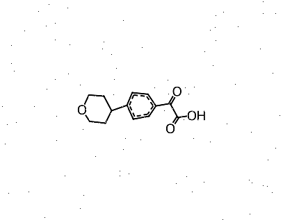 O=C(O)C(=O)c1ccc(C2CCOCC2)cc1